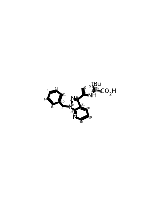 C=C(N[C@H](C(=O)O)C(C)(C)C)c1nn(Cc2ccccc2)c2ncccc12